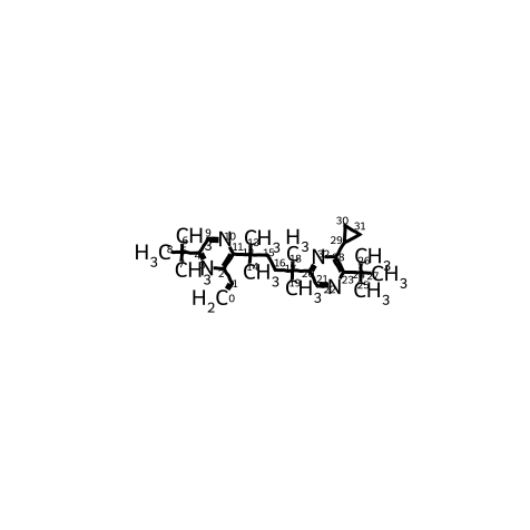 C=Cc1nc(C(C)(C)C)cnc1C(C)(C)CCC(C)(C)c1cnc(C(C)(C)C)c(C2CC2)n1